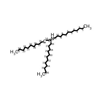 CCCCCCCCCCCCNN(CCCCCCCCCCCC)CCCCCCCCCCCC